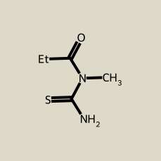 CCC(=O)N(C)C(N)=S